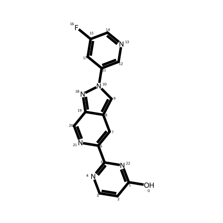 Oc1ccnc(-c2cc3cn(-c4cncc(F)c4)nc3cn2)n1